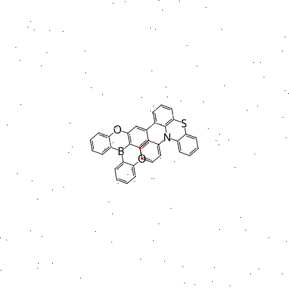 c1ccc(N2c3ccccc3Sc3cccc(-c4cc5c6c(c4)Oc4ccccc4B6c4ccccc4O5)c32)cc1